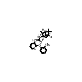 C[C@@H]1[C@H]2C[C@@H](C[C@H]1NC(=O)Nc1cccnc1Oc1ccccc1C(C)(C)C)C2(C)C